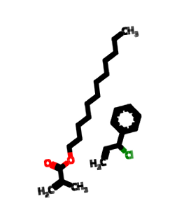 C=C(C)C(=O)OCCCCCCCCCCCC.C=CC(Cl)c1ccccc1